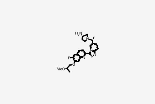 CO[C@@H](C)COc1cc2nc(-c3nnc4ccc([C@H](C)N5CC[C@H](N)C5)cn34)ccc2cc1F